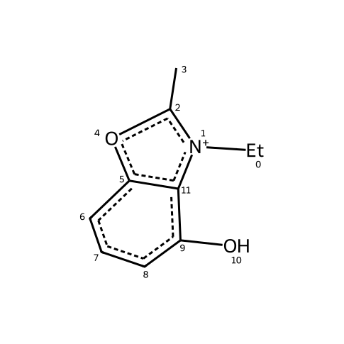 CC[n+]1c(C)oc2cccc(O)c21